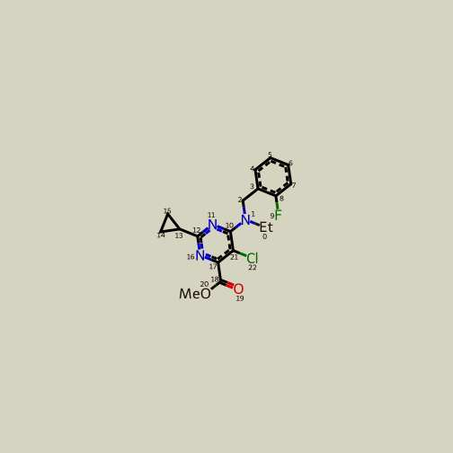 CCN(Cc1ccccc1F)c1nc(C2CC2)nc(C(=O)OC)c1Cl